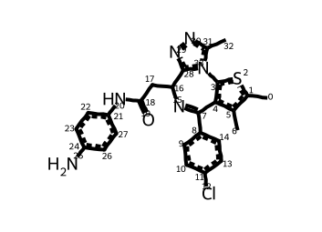 Cc1sc2c(c1C)C(c1ccc(Cl)cc1)=NC(CC(=O)Nc1ccc(N)cc1)c1nnc(C)n1-2